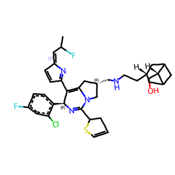 CC(F)/C=C1/C=CC(C2=C3C[C@H](CNCC[C@H]4CC5CC(C4)[C@H]5CO)CN3C(C3CC=CS3)=N[C@H]2c2ccc(F)cc2Cl)=N1